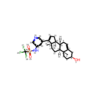 C[C@]12CC[C@H](O)CC1=CC[C@@H]1[C@@H]2CC[C@]2(C)C(c3cncc(NS(=O)(=O)C(F)(F)F)c3)=CC[C@@H]12